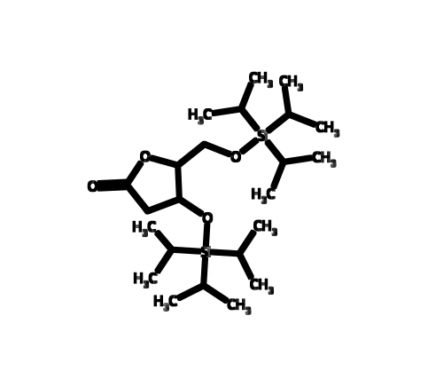 CC(C)[Si](OCC1OC(=O)CC1O[Si](C(C)C)(C(C)C)C(C)C)(C(C)C)C(C)C